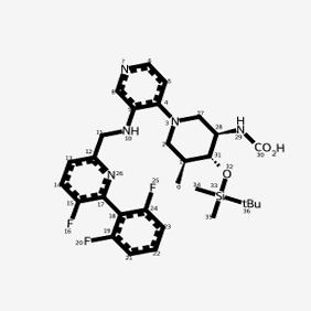 C[C@H]1CN(c2ccncc2NCc2ccc(F)c(-c3c(F)cccc3F)n2)C[C@@H](NC(=O)O)[C@@H]1O[Si](C)(C)C(C)(C)C